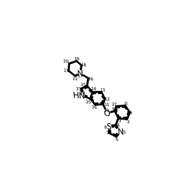 c1ccc(-c2nccs2)c(Oc2ccc3c(CN4CCCCC4)c[nH]c3c2)c1